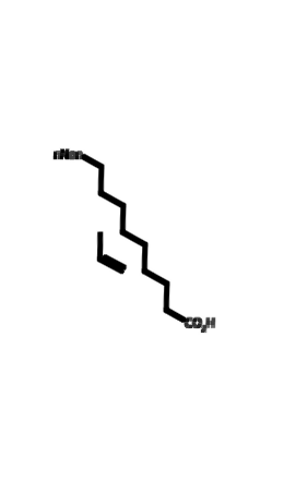 C=CC.CCCCCCCCCCCCCCCCCC(=O)O